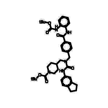 CC(C)(C)OC(=O)Nc1ccccc1NC(=O)c1ccc(CN(CC2CCN(C(=O)OC(C)(C)C)CC2)C(=O)Nc2ccc3c(c2)CCC3)cc1